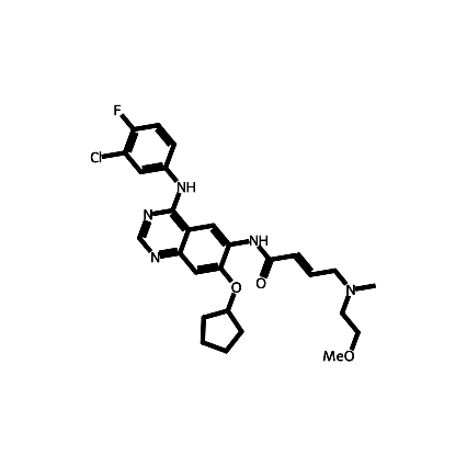 COCCN(C)C/C=C/C(=O)Nc1cc2c(Nc3ccc(F)c(Cl)c3)ncnc2cc1OC1CCCC1